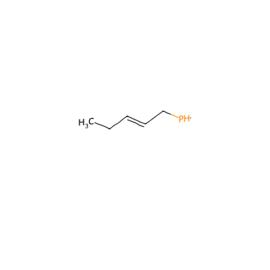 CC/C=C/C[PH]